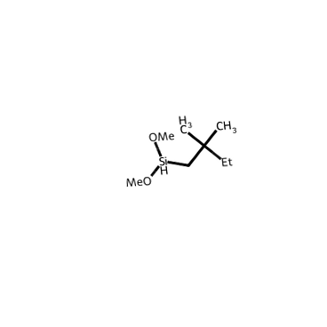 CCC(C)(C)C[SiH](OC)OC